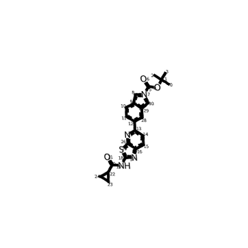 CC(C)(C)OC(=O)n1cc2ccc(-c3ccc4nc(NC(=O)C5CC5)sc4n3)cc2c1